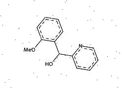 COc1ccccc1C(O)c1ccccn1